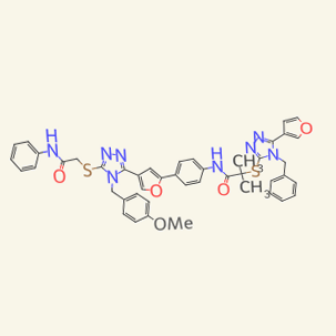 COc1ccc(Cn2c(SCC(=O)Nc3ccccc3)nnc2-c2coc(-c3ccc(NC(=O)C(C)(C)Sc4nnc(-c5ccoc5)n4Cc4ccccc4)cc3)c2)cc1